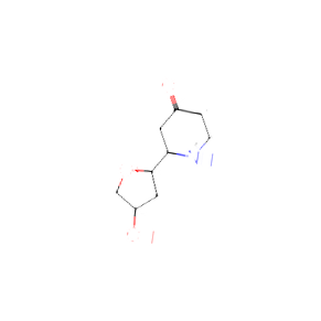 O=C1CCNC(C2CC(O)CO2)C1